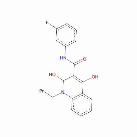 CC(C)CN1c2ccccc2C(O)=C(C(=O)Nc2cccc(F)c2)C1O